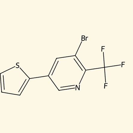 FC(F)(F)c1ncc(-c2cccs2)cc1Br